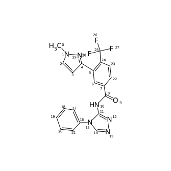 Cn1ccc(-c2cc(C(=O)Nc3nncn3-c3ccccc3)ccc2C(F)(F)F)n1